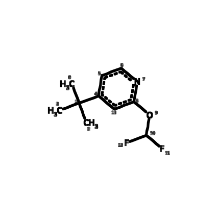 CC(C)(C)c1ccnc(OC(F)F)c1